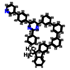 CC1(C)c2ccccc2-c2cc(-c3cccc(-c4cccc(-c5cccc(-c6cc(-c7ccc(-c8cccnc8)cc7)nc(-c7ccccc7)n6)c5)c4)c3)ccc21